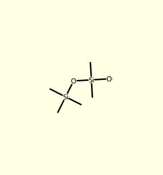 C[Si](C)(C)O[Si](C)(C)[O]